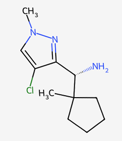 Cn1cc(Cl)c([C@H](N)C2(C)CCCC2)n1